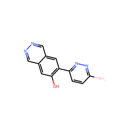 Bc1ccc(-c2cc3cnncc3cc2O)nn1